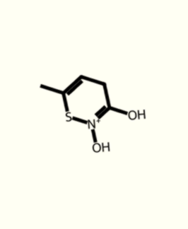 CC1=CCC(O)=[N+](O)S1